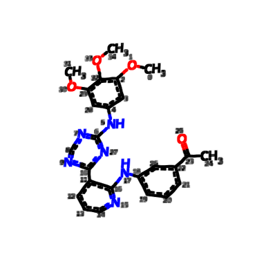 COc1cc(Nc2ncnc(-c3cccnc3Nc3cccc(C(C)=O)c3)n2)cc(OC)c1OC